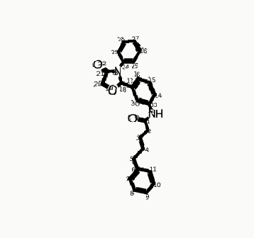 O=C(CCCCc1ccccc1)Nc1cccc(C2OCC(=O)N2c2ccccc2)c1